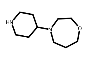 C1COCCN(C2CCNCC2)C1